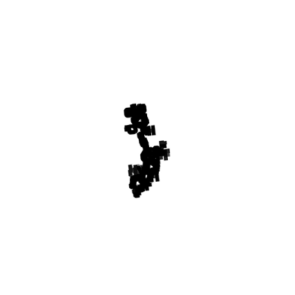 COc1cc(S(C)(=O)=O)ccc1NCC#Cc1cc2c(N[C@@H]3CCN(C)C[C@@]3(O)F)cccc2n1CC(F)(F)F